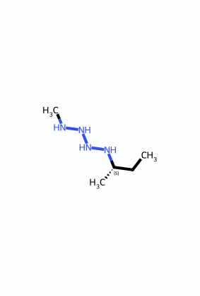 CC[C@H](C)NNNNC